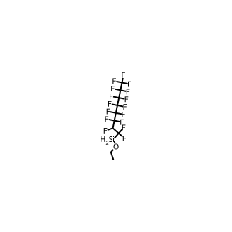 CCO[SiH2]C(F)(F)C(F)C(F)(F)C(F)(F)C(F)(F)C(F)(F)C(F)(F)C(F)(F)F